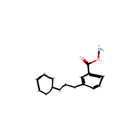 COC(=O)c1cccc(CCCC2CCCCC2)c1